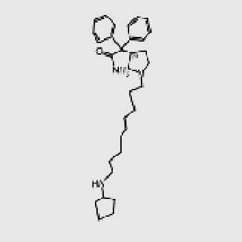 NC(=O)C(c1ccccc1)(c1ccccc1)[C@H]1CCN(CCCCCCCCCNC2CCCC2)C1